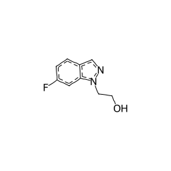 OCCn1ncc2ccc(F)cc21